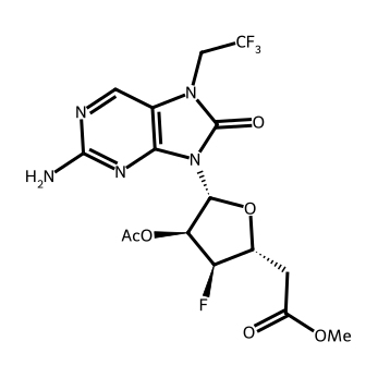 COC(=O)C[C@H]1O[C@@H](n2c(=O)n(CC(F)(F)F)c3cnc(N)nc32)[C@H](OC(C)=O)[C@@H]1F